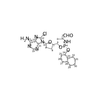 CC(C=O)NP(OCC1CCC(n2c(Cl)nc3c(N)ncnc32)O1)Oc1cccc2ccccc12